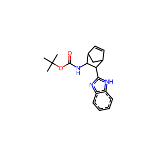 CC(C)(C)OC(=O)NC1C2C=CC(C2)C1c1nc2ccccc2[nH]1